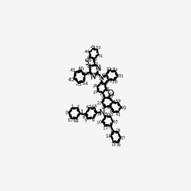 c1ccc(-c2ccc(N(c3ccc(-c4ccccc4)cc3)c3cc4c5ccc6c(c7ccccc7n6-c6nc(-c7ccccc7)c7sc8ccccc8c7n6)c5oc4c4ccccc34)cc2)cc1